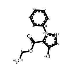 CCOC(=O)c1c(Cl)cnn1-c1ccccc1